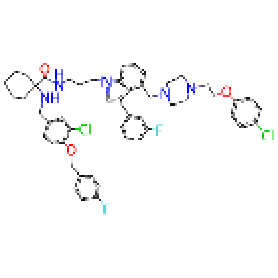 O=C(NCCCn1cc(-c2cccc(F)c2)c2c(CN3CCN(CCOc4ccc(Cl)cc4)CC3)cccc21)C1(NCc2ccc(OCc3ccc(F)cc3)c(Cl)c2)CCCCC1